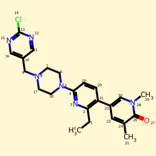 CCc1nc(N2CCN(Cc3cnc(Cl)nc3)CC2)ccc1-c1cc(C)c(=O)n(C)c1